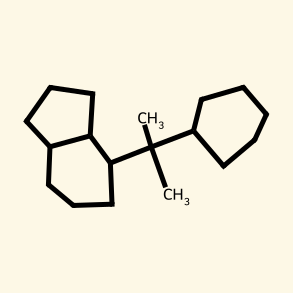 CC(C)(C1CCCCC1)C1CCCC2CCCC21